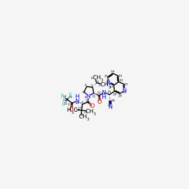 CC(C)[C@H]1CCN(C(=O)[C@@H](NC(=O)C(F)(F)F)C(C)(C)C)[C@@H]1C(=O)N[C@@H](C#N)c1cncc2cccnc12